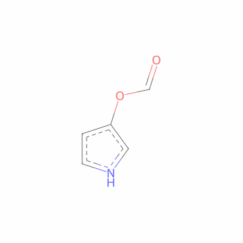 O=COc1cc[nH]c1